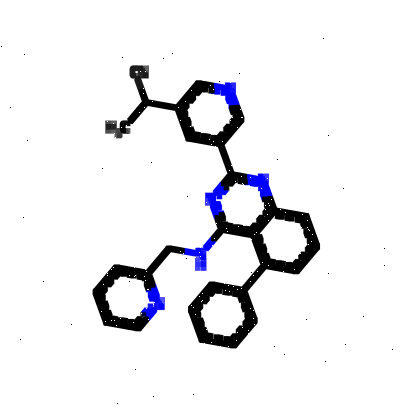 CC(C#N)c1cncc(-c2nc(NCc3ccccn3)c3c(-c4ccccc4)cccc3n2)c1